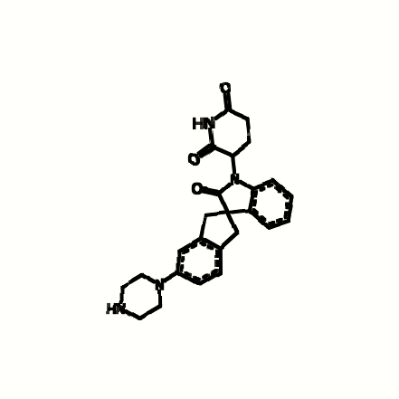 O=C1CCC(N2C(=O)C3(Cc4ccc(N5CCNCC5)cc4C3)c3ccccc32)C(=O)N1